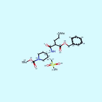 CSCCC(C(=O)N[C@H]1CCN(C(=O)OC(C)(C)C)C[C@H]1CS(=O)(=O)C(C)C)C(=O)OCc1ccccc1